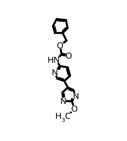 COc1ncc(-c2ccc(NC(=O)OCc3ccccc3)nc2)cn1